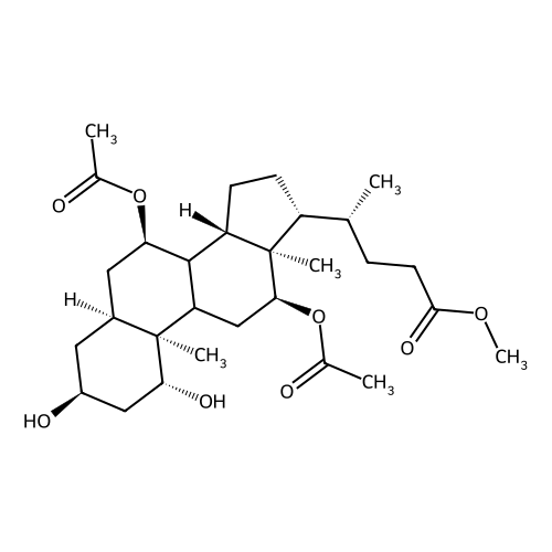 COC(=O)CC[C@@H](C)[C@H]1CC[C@H]2C3C(C[C@H](OC(C)=O)[C@]12C)[C@]1(C)[C@@H](C[C@H](O)C[C@H]1O)C[C@H]3OC(C)=O